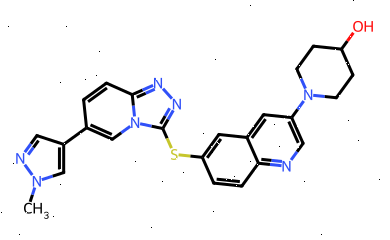 Cn1cc(-c2ccc3nnc(Sc4ccc5ncc(N6CCC(O)CC6)cc5c4)n3c2)cn1